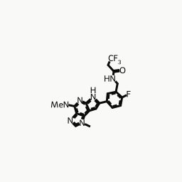 CNc1nc2[nH]c(-c3ccc(F)c(CNC(=O)CC(F)(F)F)c3)cc2c2c1ncn2C